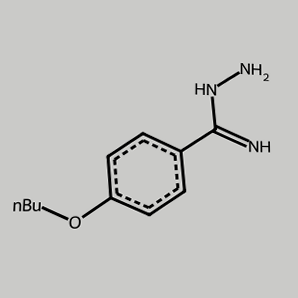 CCCCOc1ccc(C(=N)NN)cc1